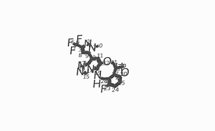 Cn1nc(C(F)(F)F)cc1-c1cc2c(n3cnnc13)NCc1c(F)ccc3c1[C@@H](CO3)CO2